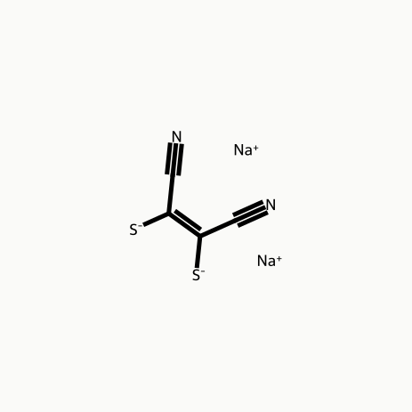 N#C/C([S-])=C(/[S-])C#N.[Na+].[Na+]